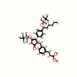 CCCCCC(O[Si](C)(C)C(C)(C)C)c1ccc([C@@H]2C(Cc3cccc(CCC(=O)OC)c3)C(=O)C[C@H]2O[Si](C)(C)C(C)(C)C)cc1